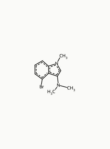 CN(C)c1cn(C)c2cccc(Br)c12